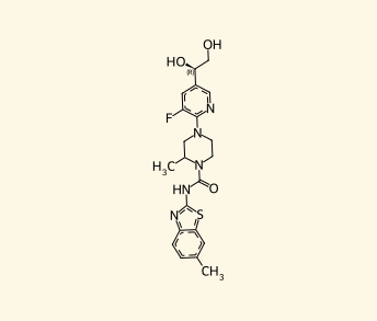 Cc1ccc2nc(NC(=O)N3CCN(c4ncc([C@@H](O)CO)cc4F)CC3C)sc2c1